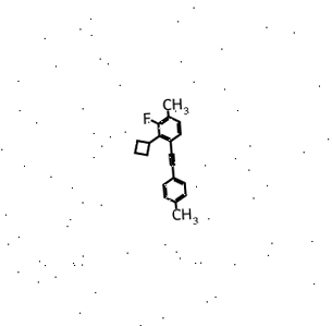 Cc1ccc(C#Cc2ccc(C)c(F)c2C2CCC2)cc1